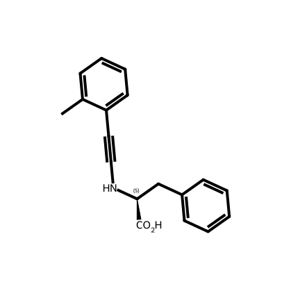 Cc1ccccc1C#CN[C@@H](Cc1ccccc1)C(=O)O